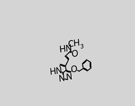 CNC(=O)/C=C/c1c[nH]c2ncnc(OCc3ccccc3)c12